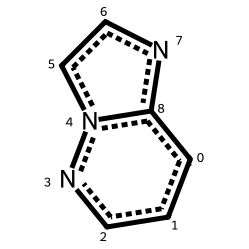 [c]1ccnn2ccnc12